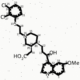 COc1ccc2nccc(C(O)CC[C@@H]3CCN(CCSc4cccc(Cl)c4Cl)C[C@@H]3CC(=O)O)c2c1